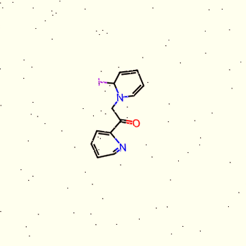 O=C(CN1C=CC=CC1I)c1ccccn1